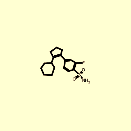 NS(=O)(=O)c1ccc(C2=C(C3CCCCC3)CCC2)cc1F